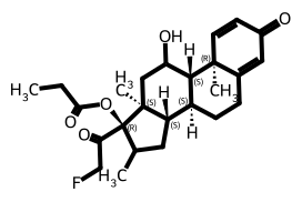 CCC(=O)O[C@]1(C(=O)CF)C(C)C[C@H]2[C@@H]3CCC4=CC(=O)C=C[C@]4(C)[C@H]3C(O)C[C@@]21C